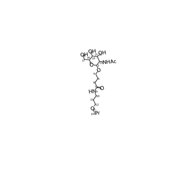 CC(=O)NC1C(OCCCC(=O)NCCCOC(C)C)OC(CO)C(O)C1O